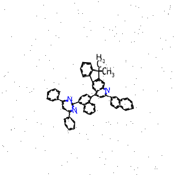 CC1(C)c2ccccc2-c2cc3c(-c4ccc(-c5nc(-c6ccccc6)cc(-c6ccccc6)n5)c5ccccc45)cc(-c4ccc5ccccc5c4)nc3cc21